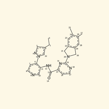 CCc1cnn(-c2ccncc2NC(=O)c2ccnc(N3Cc4cc(C)c(C)cc4C3)n2)c1